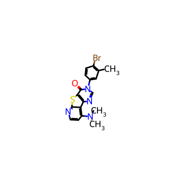 Cc1cc(-n2cnc3c(sc4nccc(N(C)C)c43)c2=O)ccc1Br